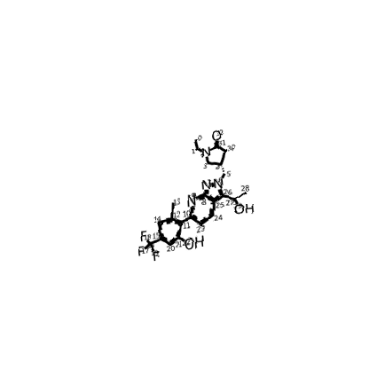 CCN1C[C@@H](Cn2nc3nc(-c4c(C)cc(C(F)(F)F)cc4O)ccc3c2[C@@H](C)O)CC1=O